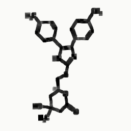 Cc1ccc(-c2nc(SC[C@@H]3CC(C)(O)CC(=O)O3)[nH]c2-c2ccc(C)cc2)cc1